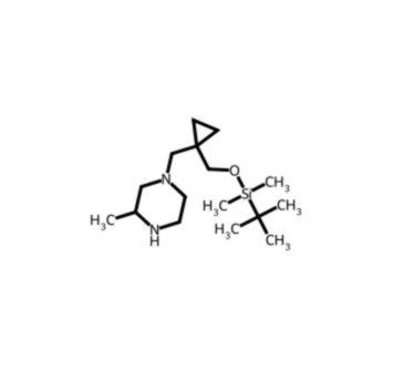 CC1CN(CC2(CO[Si](C)(C)C(C)(C)C)CC2)CCN1